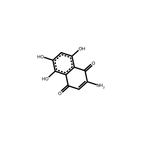 NC1=CC(=O)c2c(O)c(O)cc(O)c2C1=O